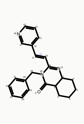 O=C1C2CCCCC2N=C(/C=C/c2cccnc2)N1Cc1ccccc1